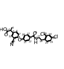 CC(C(=O)O)c1ccc(Oc2ccc(C(=O)NCCc3ccc(Cl)cc3Cl)cc2)c(C#N)c1